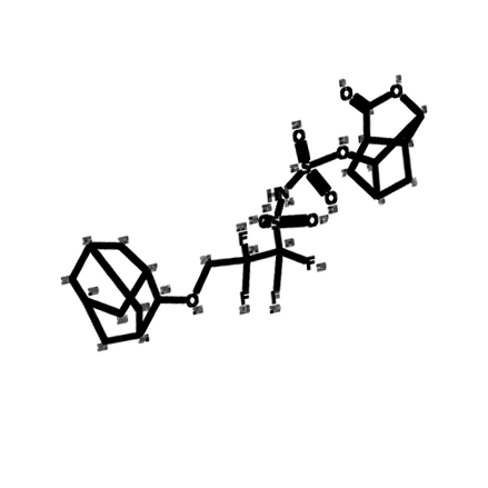 O=C1OC2C3CC(CC13)C2OS(=O)(=O)NS(=O)(=O)C(F)(F)C(F)(F)COC1C2CC3CC(C2)CC1C3